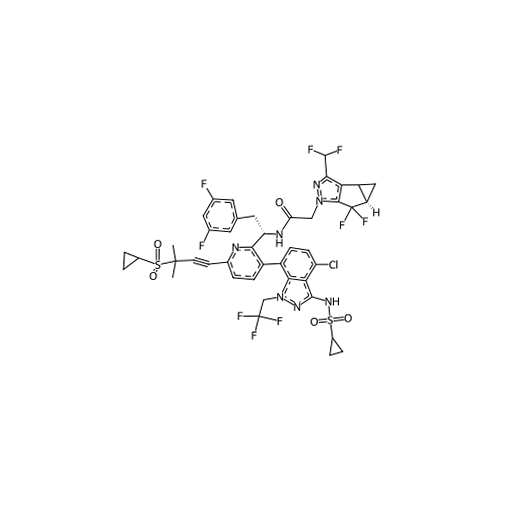 CC(C)(C#Cc1ccc(-c2ccc(Cl)c3c(NS(=O)(=O)C4CC4)nn(CC(F)(F)F)c23)c([C@H](Cc2cc(F)cc(F)c2)NC(=O)Cn2nc(C(F)F)c3c2C(F)(F)[C@@H]2CC32)n1)S(=O)(=O)C1CC1